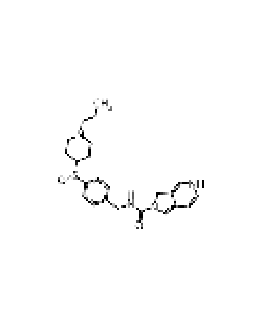 CCCN1CCC([S+]([O-])c2ccc(CNC(=O)N3C=C4C=CNC=C4C3)cc2)CC1